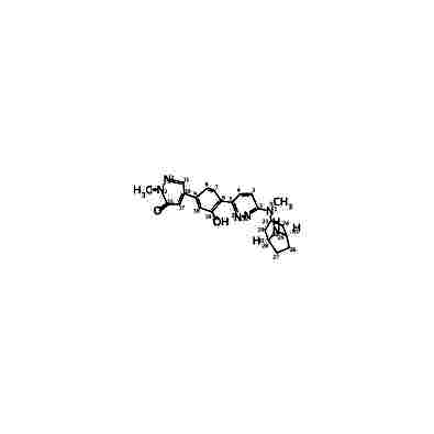 CN(c1ccc(-c2ccc(-c3cnn(C)c(=O)c3)cc2O)nn1)C1C[C@H]2CC[C@@H](C1)N2